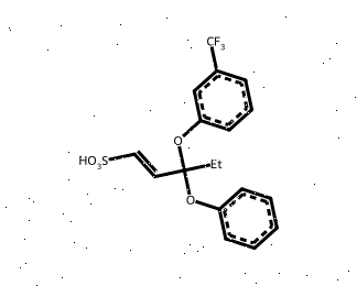 CCC(C=CS(=O)(=O)O)(Oc1ccccc1)Oc1cccc(C(F)(F)F)c1